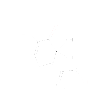 C=C(CO)[C@@H]1CC=C(C)C(=O)C1(C)C